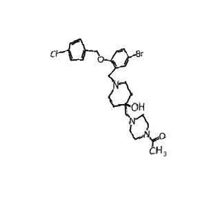 CC(=O)N1CCN(CC2(O)CCN(Cc3cc(Br)ccc3OCc3ccc(Cl)cc3)CC2)CC1